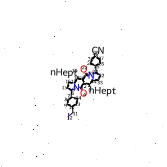 CCCCCCCc1c2c(=O)n3c(-c4ccc(CI)cc4)ccc3c(CCCCCCC)c2c(=O)n2c(-c3ccc(C#N)cc3)ccc12